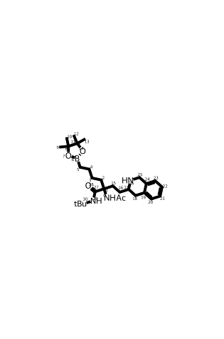 CC(=O)NC(CCCCB1OC(C)(C)C(C)(C)O1)(CCC1Cc2ccccc2CN1)C(=O)NC(C)(C)C